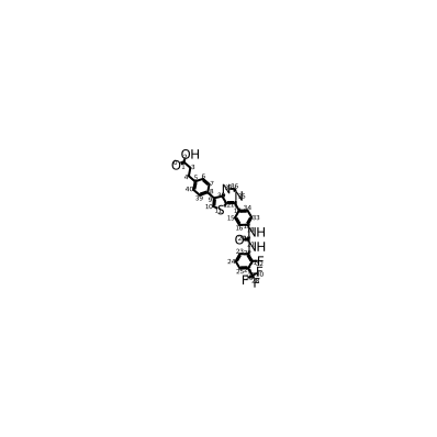 O=C(O)CCc1ccc(-c2csc3c(-c4ccc(NC(=O)Nc5cccc(C(F)(F)F)c5F)cc4)ncnc23)cc1